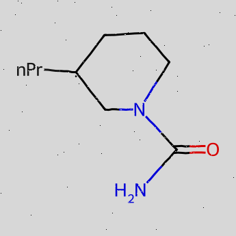 CCC[C]1CCCN(C(N)=O)C1